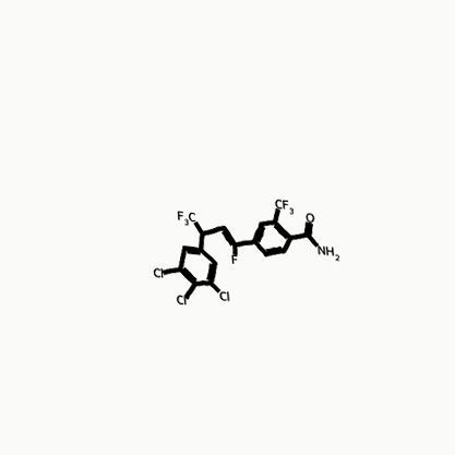 NC(=O)c1ccc(C(F)=CC(c2cc(Cl)c(Cl)c(Cl)c2)C(F)(F)F)cc1C(F)(F)F